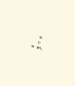 B.[C].[N].[Si]